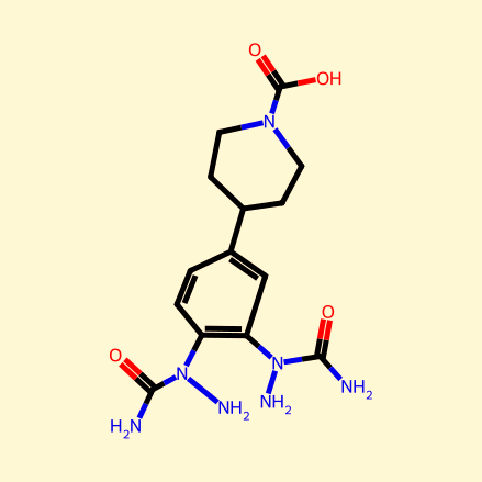 NC(=O)N(N)c1ccc(C2CCN(C(=O)O)CC2)cc1N(N)C(N)=O